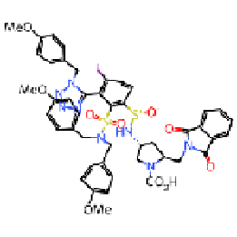 COc1ccc(CN(Cc2ccc(OC)cc2)S(=O)(=O)c2c([S+]([O-])N[C@@H]3C[C@@H](CN4C(=O)c5ccccc5C4=O)N(C(=O)O)C3)ccc(I)c2-c2nnnn2Cc2ccc(OC)cc2)cc1